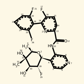 C[C@H]1O[C@@H](c2ccncc2NC(=O)c2ccc(F)c(-c3c(F)cccc3F)n2)[C@H](F)[C@@H](O)[C@]1(C)O